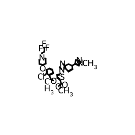 COC(=O)c1sc(-n2cnc3c2C=CC(c2cnn(C)c2)C3)cc1OC(C)c1cccc(OC2CCN(CCC(F)(F)F)CC2)c1Cl